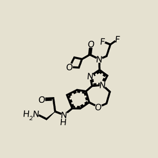 NC[C@@H](C=O)Nc1ccc2c(c1)OCCn1cc(N(CC(F)F)C(=O)C3COC3)nc1-2